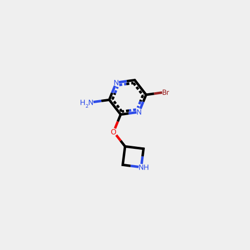 Nc1ncc(Br)nc1OC1CNC1